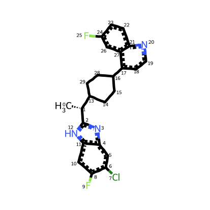 C[C@@H](c1nc2cc(Cl)c(F)cc2[nH]1)C1CCC(c2ccnc3ccc(F)cc23)CC1